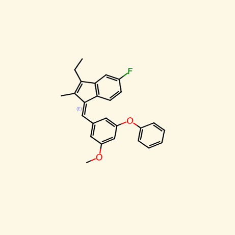 CCC1=C(C)/C(=C/c2cc(OC)cc(Oc3ccccc3)c2)c2ccc(F)cc21